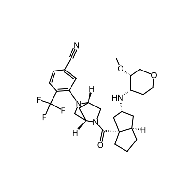 CO[C@@H]1COCC[C@@H]1N[C@@H]1C[C@H]2CCC[C@@]2(C(=O)N2C[C@@H]3C[C@H]2CN3c2cc(C#N)ccc2C(F)(F)F)C1